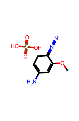 COC1=CC(N)=CCC1=[N+]=[N-].O=S(=O)(O)O